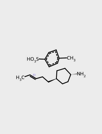 C/C=C/CC[C@H]1CC[C@H](N)CC1.Cc1ccc(S(=O)(=O)O)cc1